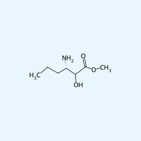 CCC[C@H](N)C(O)C(=O)OC